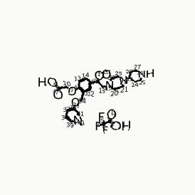 O=C(O)C(F)(F)F.O=C(O)COc1ccc(C(=O)CN2CCN(C3CCNCC3)CC2=O)cc1COc1cccnc1